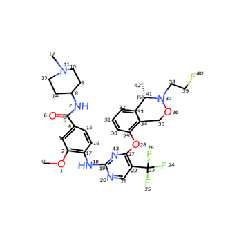 COc1cc(C(=O)NC2CCN(C)CC2)ccc1Nc1ncc(C(F)(F)F)c(Oc2cccc3c2CON(CCF)[C@H]3C)n1